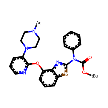 CC(=O)N1CCN(c2cccnc2Oc2cccc3sc(N(C(=O)OC(C)(C)C)c4ccccc4)nc23)CC1